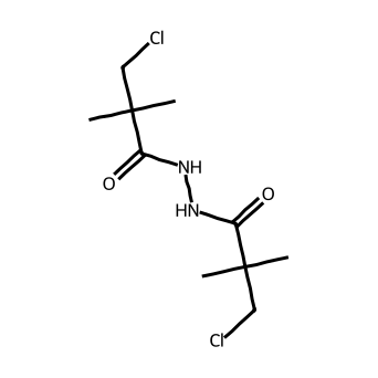 CC(C)(CCl)C(=O)NNC(=O)C(C)(C)CCl